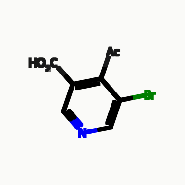 CC(=O)c1c(Br)cncc1C(=O)O